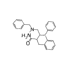 CN(Cc1ccccc1)CC1C(C(N)=O)Cc2ccccc2C1c1ccccc1